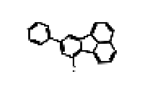 Clc1cc(-c2ccccc2)cc2c1C1=CC=CC3C=CC=C2C13